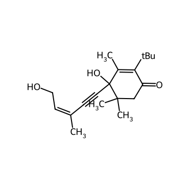 CC1=C(C(C)(C)C)C(=O)CC(C)(C)C1(O)C#C/C(C)=C\CO